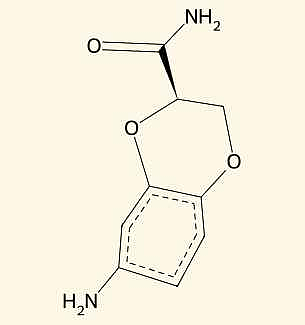 NC(=O)[C@H]1COc2ccc(N)cc2O1